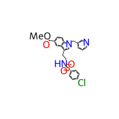 COC(=O)c1ccc2c(c1)c(CCNS(=O)(=O)c1ccc(Cl)cc1)cn2Cc1cccnc1